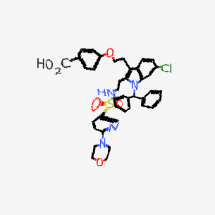 O=C(O)c1ccc(OCCc2c(CCNS(=O)(=O)c3ccc(N4CCOCC4)nc3)n(C(c3ccccc3)c3ccccc3)c3cc(Cl)ccc23)cc1